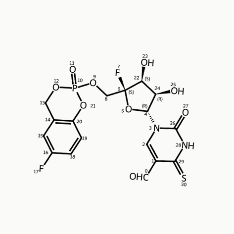 O=Cc1cn([C@@H]2O[C@](F)(COP3(=O)OCc4cc(F)ccc4O3)[C@@H](O)[C@H]2O)c(=O)[nH]c1=S